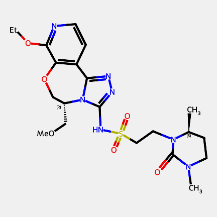 CCOc1nccc2c1OC[C@@H](COC)n1c(NS(=O)(=O)CCN3C(=O)N(C)CC[C@@H]3C)nnc1-2